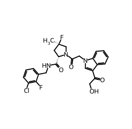 C[C@@]1(F)C[C@@H](C(=O)NCc2cccc(Cl)c2F)N(C(=O)Cn2cc(C(=O)CO)c3ccccc32)C1